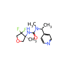 C[C@@H](c1ccncc1)N(C)C(=O)N[C@@]1(C)COCC1(F)F